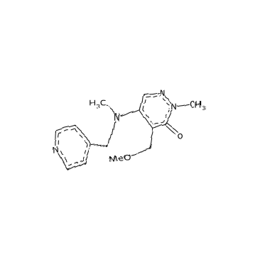 COCc1c(N(C)Cc2ccncc2)cnn(C)c1=O